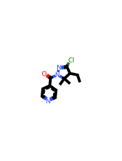 CCC1C(Cl)=NN(C(=O)c2ccncc2)C1(C)C